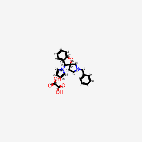 O=C(O)C(=O)O.c1ccc(CN2CCC3(C2)Oc2ccccc2C3n2cccc2)cc1